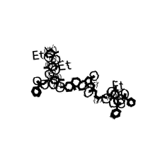 CCC1O[C@@H](O[C@@H]2C(CC)O[C@@H](O[C@@H]3C(COC(=O)c4ccccc4)O[C@@H](OC4CCC5(C)C(CCC6C5CCC5(C)C6CC(=O)C5[C@H](C)C(=O)CC[C@H](C)CO[C@@H]5OC(CC)[C@@H](C)[C@H](OC(=O)c6ccccc6)C5OC(=O)c5ccccc5)C4)C(C)[C@H]3C)C(C)[C@H]2C)C(C)[C@@H](C)[C@@H]1C